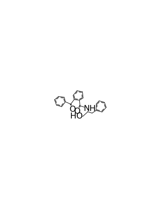 O=C(NC(CO)Cc1ccccc1)c1ccccc1C(=O)c1ccccc1